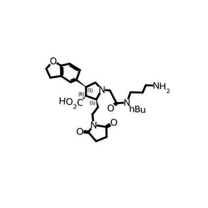 CCCCN(CCCN)C(=O)CN1C[C@H](c2ccc3c(c2)CCO3)[C@@H](C(=O)O)[C@@H]1CCN1C(=O)CCC1=O